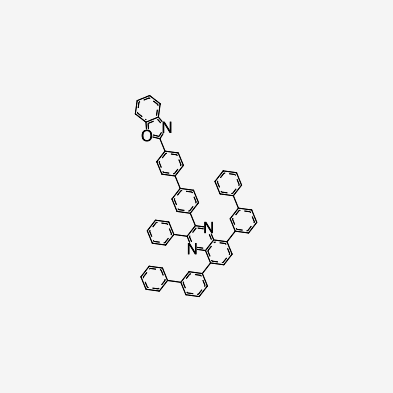 c1ccc(-c2cccc(-c3ccc(-c4cccc(-c5ccccc5)c4)c4nc(-c5ccc(-c6ccc(-c7nc8ccccc8o7)cc6)cc5)c(-c5ccccc5)nc34)c2)cc1